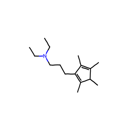 CCN(CC)CCCC1=C(C)C(C)C(C)=C1C